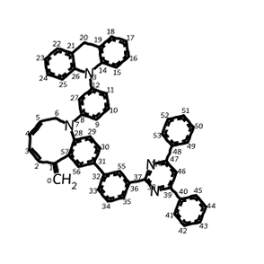 C=C1/C=C\C=C/CN(c2cccc(N3c4ccccc4Cc4ccccc43)c2)c2ccc(-c3cccc(-c4nc(-c5ccccc5)cc(-c5ccccc5)n4)c3)cc21